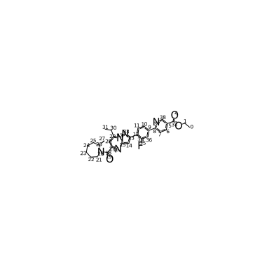 CCOC(=O)c1ccc(-c2ccc(-c3cc4nc(C(=O)N5CCCCC[C@H]5C)cc(CC)n4n3)c(F)c2)nc1